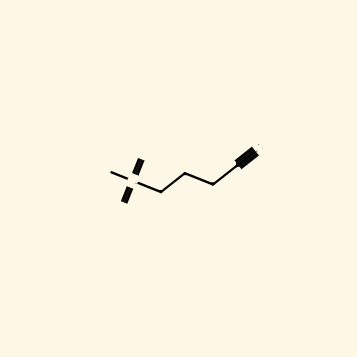 N#CCCCS(=O)(O)=S